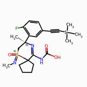 CN=[S@@]1(=O)C[C@@](C)(c2cc(C#C[Si](C)(C)C)ccc2F)N=C(NC(=O)O)C12CCCC2